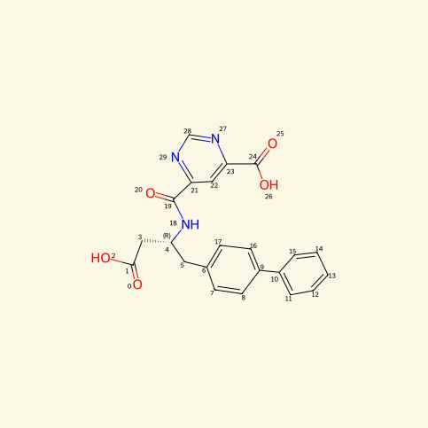 O=C(O)C[C@@H](Cc1ccc(-c2ccccc2)cc1)NC(=O)c1cc(C(=O)O)ncn1